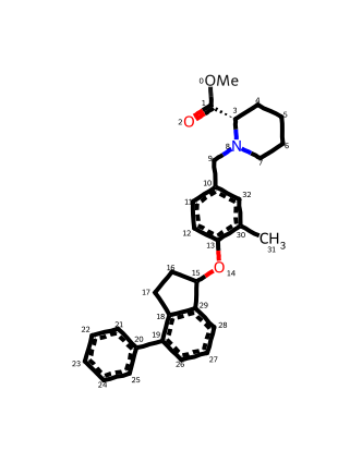 COC(=O)[C@@H]1CCCCN1Cc1ccc(OC2CCc3c(-c4ccccc4)cccc32)c(C)c1